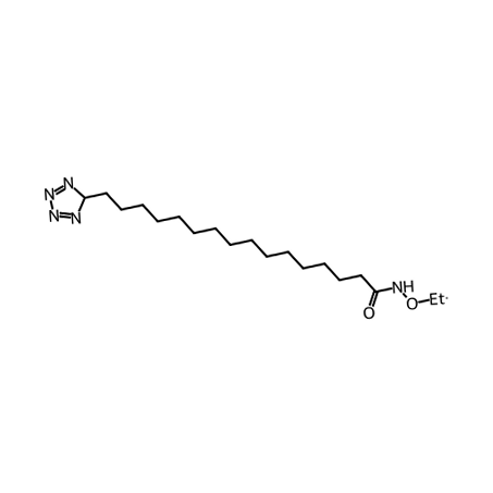 C[CH]ONC(=O)CCCCCCCCCCCCCCCC1N=NN=N1